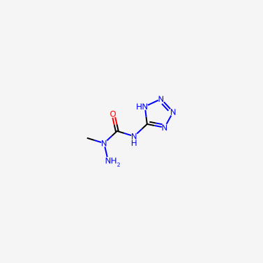 CN(N)C(=O)Nc1nnn[nH]1